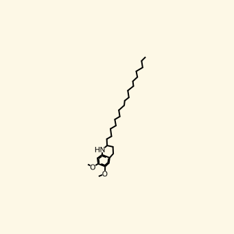 CCCCCCCCCCCCCCCCCCC1CCc2cc(OC)c(OC)cc2N1